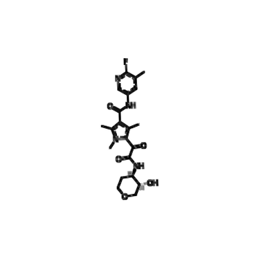 Cc1cc(NC(=O)c2c(C)c(C(=O)C(=O)N[C@@H]3CCOC[C@H]3O)n(C)c2C)cnc1F